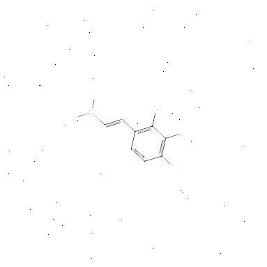 CCOC(=O)c1c(C)ccc(/C=C/N(C)C)c1[N+](=O)[O-]